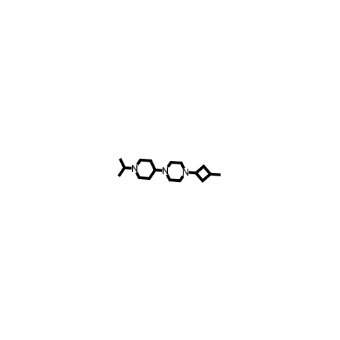 CC1CC(N2CCN(C3CCN(C(C)C)CC3)CC2)C1